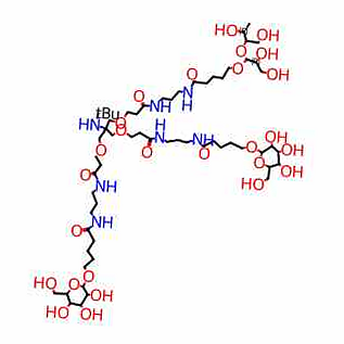 C[C@H](O)C(CO)OC(OCCCCC(=O)NCCCNC(=O)CCOCC(COCCC(=O)NCCCNC(=O)CCCCOC1OC(CO)C(O)C(O)C1O)(COCCC(=O)NCCCNC(=O)CCCCOC1OC(CO)C(O)C(O)C1O)NC(C)(C)C)[C@H](O)CO